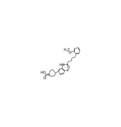 COc1ccccc1CCCCC(=O)Nc1cc(C2CCN(C(=O)O)CC2)ccc1F